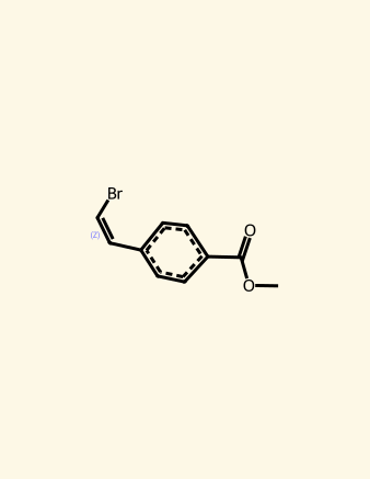 COC(=O)c1ccc(/C=C\Br)cc1